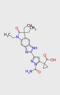 CCN1C(=O)C(CC)(CC)c2cc3[nH]c(-c4[c]c(C5(C(=O)O)CC5)n(C(N)=O)n4)nc3cc21